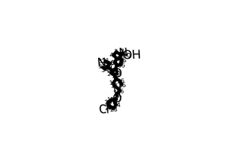 O/N=C1/CCc2cc(-c3oc(C4CCN(CCOc5ccc(Cl)cc5)CC4)cc3-c3ccncc3)ccc21